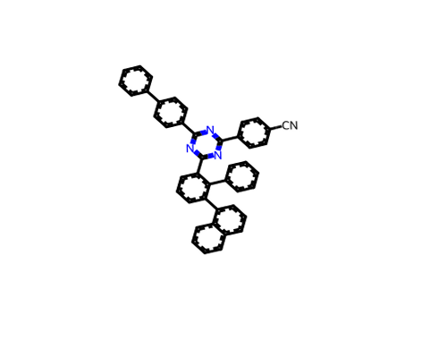 N#Cc1ccc(-c2nc(-c3ccc(-c4ccccc4)cc3)nc(-c3cccc(-c4cccc5ccccc45)c3-c3ccccc3)n2)cc1